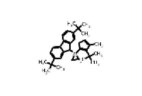 CC1=CC[C]([Zr]2([CH]3c4cc(C(C)(C)C)ccc4-c4ccc(C(C)(C)C)cc43)[CH2][CH2]2)=C1C(C)(C)C